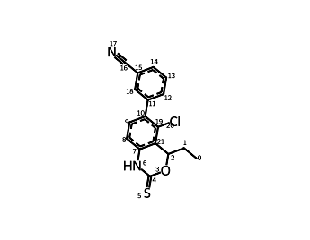 CCC1OC(=S)Nc2ccc(-c3cccc(C#N)c3)c(Cl)c21